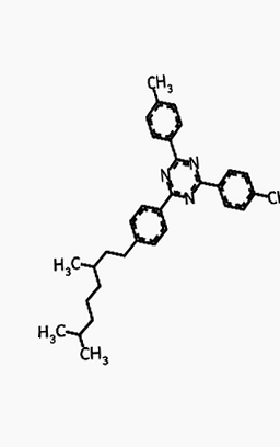 Cc1ccc(-c2nc(-c3ccc(C)cc3)nc(-c3ccc(CCC(C)CCCC(C)C)cc3)n2)cc1